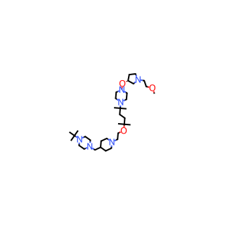 COCCN1CC[C@@H](ON2CCN(C(C)(C)CCC(C)(C)OCCN3CCC(CN4CCN(C(C)(C)C)CC4)CC3)CC2)C1